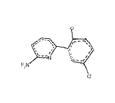 Nc1cccc(-c2cc(Cl)ccc2Cl)n1